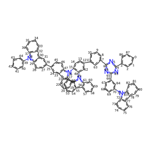 c1ccc(-c2nc(-c3cccc(-c4ccc(-n5c6ccccc6c6cc(-c7ccc8c(c7)c7ccccc7n8-c7ccccc7)ccc65)c(-n5c6ccccc6c6ccccc65)c4)c3)nc(-c3cccc(-n4c5ccccc5c5ccccc54)c3)n2)cc1